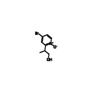 CC(CO)c1cc(Br)cc[n+]1[O-]